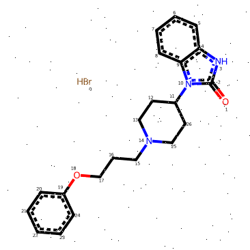 Br.O=c1[nH]c2ccccc2n1C1CCN(CCCOc2ccccc2)CC1